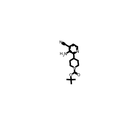 CC(C)(C)OC(=O)N1CCC(c2nccc(C#N)c2N)CC1